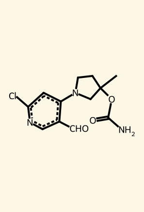 CC1(OC(N)=O)CCN(c2cc(Cl)ncc2C=O)C1